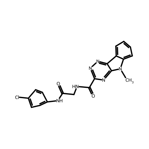 Cn1c2ccccc2c2nnc(C(=O)NCC(=O)Nc3ccc(Cl)cc3)nc21